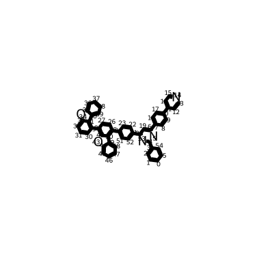 c1ccc(-c2nc(-c3ccc(-c4ccncc4)cc3)cc(-c3ccc(-c4ccc(-c5cccc6oc7ccccc7c56)c5oc6ccccc6c45)cc3)n2)cc1